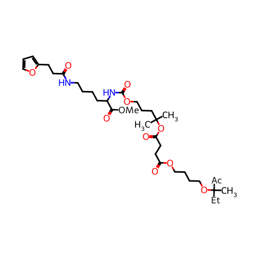 CCC(C)(OCCCCOC(=O)CCC(=O)OC(C)(C)CCCOC(=O)NC(CCCCNC(=O)CCc1ccco1)C(=O)OC)C(C)=O